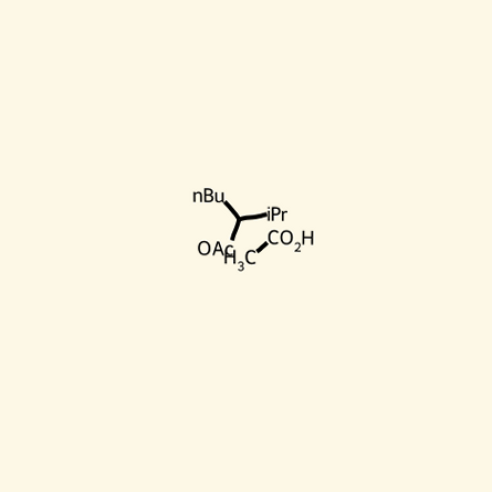 CC(=O)O.CCCCC(OC(C)=O)C(C)C